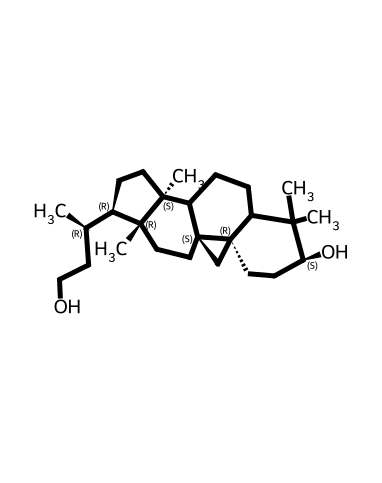 C[C@H](CCO)[C@H]1CC[C@@]2(C)C3CCC4C(C)(C)[C@@H](O)CC[C@@]45C[C@@]35CC[C@]12C